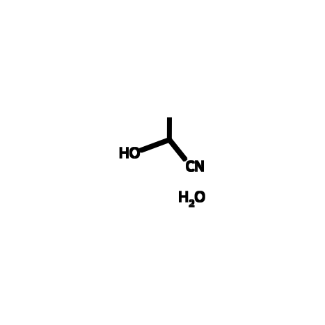 CC(O)C#N.O